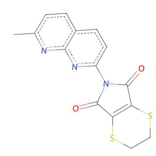 Cc1ccc2ccc(N3C(=O)C4=C(SCCS4)C3=O)nc2n1